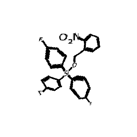 O=[N+]([O-])c1ccccc1CO[Si](c1ccc(F)cc1)(c1ccc(F)cc1)c1ccc(F)cc1